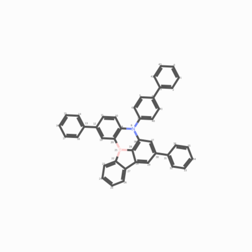 c1ccc(-c2ccc(N3c4ccc(-c5ccccc5)cc4B4c5ccccc5-c5cc(-c6ccccc6)cc3c54)cc2)cc1